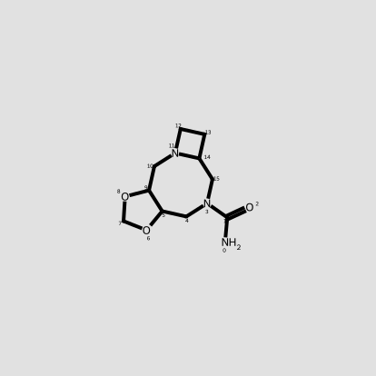 NC(=O)N1CC2OCOC2CN2CCC2C1